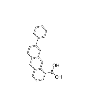 OB(O)c1cccc2cc3ccc(-c4ccccc4)cc3cc12